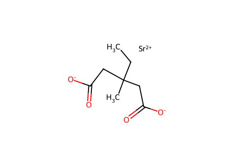 CCC(C)(CC(=O)[O-])CC(=O)[O-].[Sr+2]